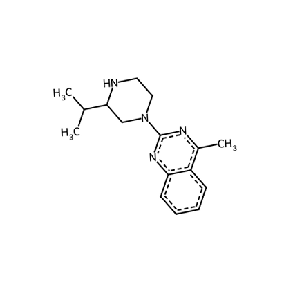 Cc1nc(N2CCNC(C(C)C)C2)nc2ccccc12